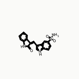 NS(=O)(=O)c1ccc2[nH]cc(C=C3C(=O)Nc4ccccc43)c2c1